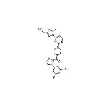 Cc1cnc(N2CCN(C(=O)N3N=CCC3c3cc(F)cc(P)c3)CC2)nc1-n1nc(CO)nc1C